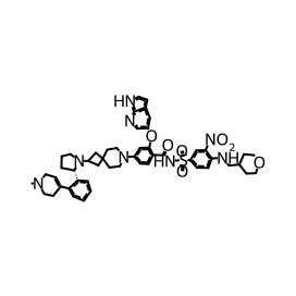 CN1CC=C(c2ccccc2[C@@H]2CCCN2C2CC3(CCN(c4ccc(C(=O)NS(=O)(=O)c5ccc(NCC6CCOCC6)c([N+](=O)[O-])c5)c(Oc5cnc6[nH]ccc6c5)c4)CC3)C2)CC1